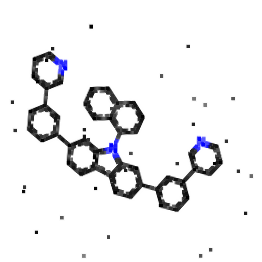 c1cncc(-c2cccc(-c3ccc4c5ccc(-c6cccc(-c7cccnc7)c6)cc5n(-c5cccc6ccccc56)c4c3)c2)c1